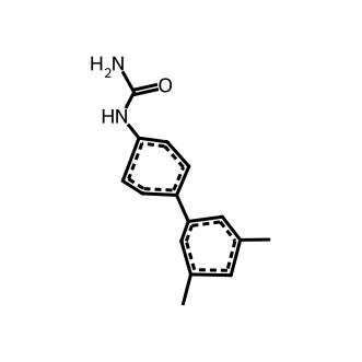 Cc1cc(C)cc(-c2ccc(NC(N)=O)cc2)c1